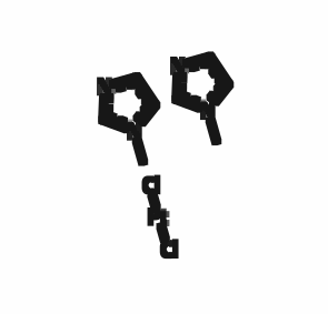 Cn1ccnc1.Cn1ccnc1.[Cl][Pt][Cl]